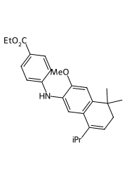 CCOC(=O)c1ccc(Nc2cc3c(cc2OC)C(C)(C)CC=C3C(C)C)cc1